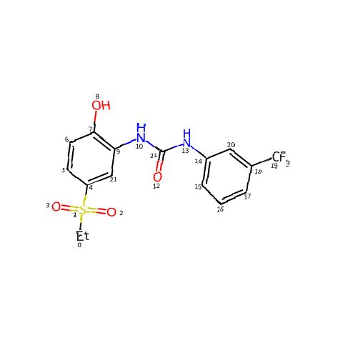 CCS(=O)(=O)c1ccc(O)c(NC(=O)Nc2cccc(C(F)(F)F)c2)c1